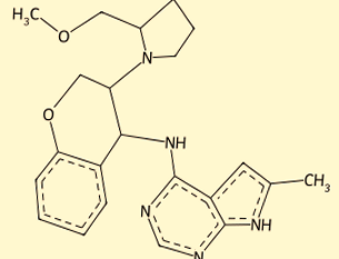 COCC1CCCN1C1COc2ccccc2C1Nc1ncnc2[nH]c(C)cc12